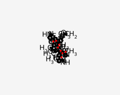 C=CC(=O)N1CC2CCc3c(c4cc(F)c(-c5c(C)ccc6[nH]ncc56)c(Cl)c4n(-c4c(C)cc(C(=C)C(=O)N5CC6CCOc7c(c8cc(F)c(-c9c(C)ccc%10[nH]ncc9%10)c(Cl)c8n(-c8c(C)ccnc8C(C)C)c7=O)N6CC5C)nc4C(C)C)c3=O)N2CC1C